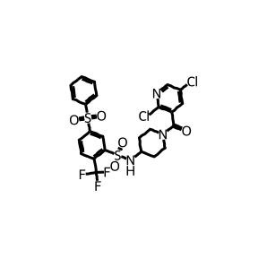 O=C(c1cc(Cl)cnc1Cl)N1CCC(NS(=O)(=O)c2cc(S(=O)(=O)c3ccccc3)ccc2C(F)(F)F)CC1